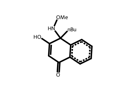 CCCCC1(NOC)C(O)=CC(=O)c2ccccc21